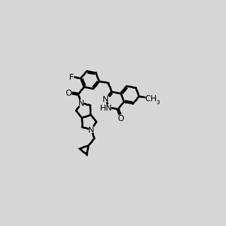 CC1C=c2c(=O)[nH]nc(Cc3ccc(F)c(C(=O)N4CC5CN(CC6CC6)CC5C4)c3)c2=CC1